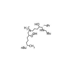 CCCC[C@@H](C)CCCC(CN(C)CCCC(O)[C@H](CC(C)C)NCC(C)CC)OO